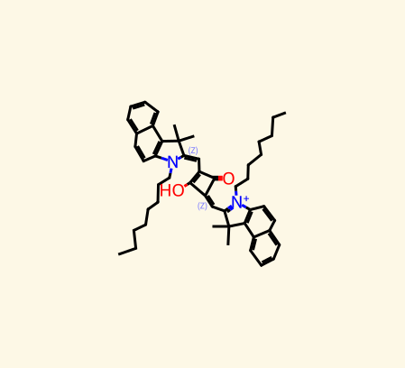 CCCCCCCCN1/C(=C\C2=C(O)C(=C/C3=[N+](CCCCCCCC)c4ccc5ccccc5c4C3(C)C)/C2=O)C(C)(C)c2c1ccc1ccccc21